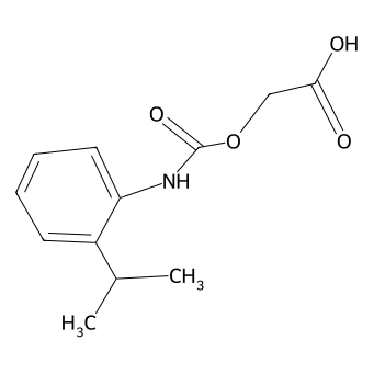 CC(C)c1ccccc1NC(=O)OCC(=O)O